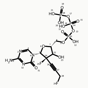 Nc1ncn([C@@H]2O[C@H](COP(=O)(O)OP(=O)(O)OP(=O)(O)O)C(O)[C@]2(F)C#CCF)c(=O)n1